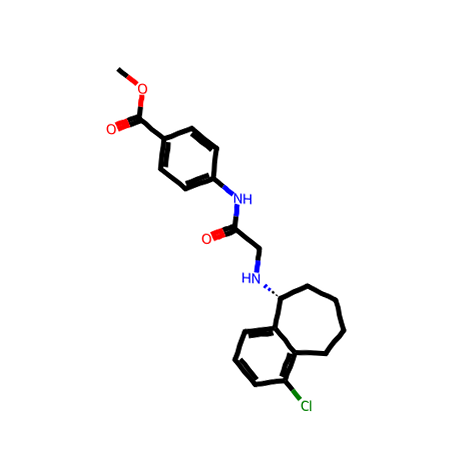 COC(=O)c1ccc(NC(=O)CN[C@@H]2CCCCc3c(Cl)cccc32)cc1